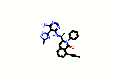 CC#Cc1cccc2cc([C@H](C)Nc3ncnc(N)c3C3=NC(C)N=N3)n(-c3ccccc3)c(=O)c12